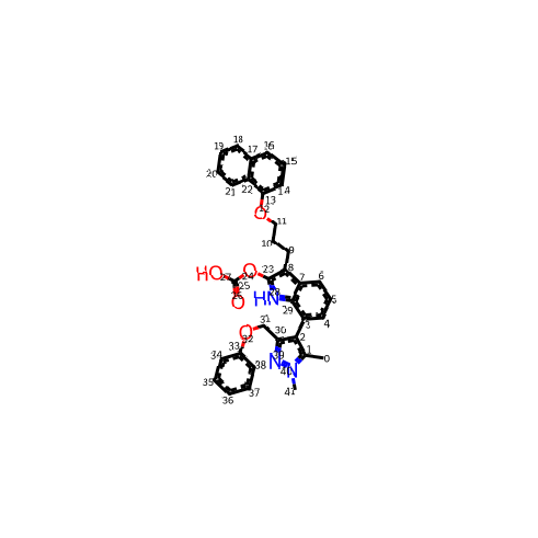 Cc1c(-c2cccc3c(CCCOc4cccc5ccccc45)c(OC(=O)O)[nH]c23)c(COc2ccccc2)nn1C